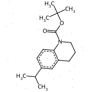 CC(C)c1ccc2c(c1)CCCN2C(=O)OC(C)(C)C